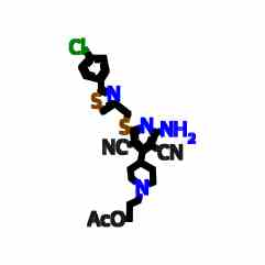 CC(=O)OCCCN1CCC(c2c(C#N)c(N)nc(SCc3csc(-c4ccc(Cl)cc4)n3)c2C#N)CC1